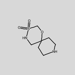 O=S1(=O)COC2(CCNCC2)CN1